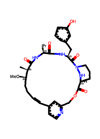 CO[C@@H]1CCC=Cc2ccnc(c2)COC(=O)[C@@H]2CCCN(N2)C(=O)[C@H](Cc2cccc(O)c2)NC(=O)[C@H](C(C)C)NC(=O)[C@@H]1C